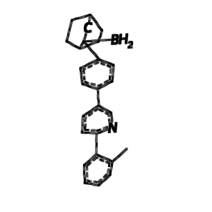 BC1(c2ccc(-c3ccc(-c4ccccc4C)nc3)cc2)CC2CCC1CC2